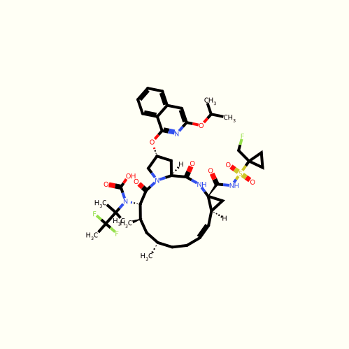 CC(C)Oc1cc2ccccc2c(O[C@@H]2C[C@H]3C(=O)N[C@]4(C(=O)NS(=O)(=O)C5(CF)CC5)C[C@H]4/C=C\CC[C@H](C)C[C@@H](C)[C@H](N(C(=O)O)C(C)(C)C(C)(F)F)C(=O)N3C2)n1